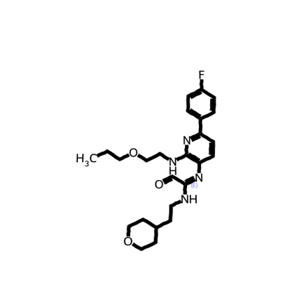 CCCOCCNc1nc(-c2ccc(F)cc2)ccc1/N=C(\C=O)NCCC1CCOCC1